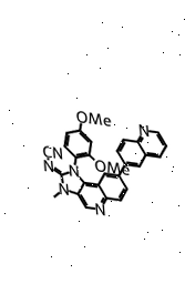 COc1ccc(-n2c(=NC#N)n(C)c3cnc4ccc(-c5ccc6ncccc6c5)cc4c32)c(OC)c1